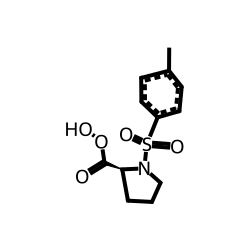 Cc1ccc(S(=O)(=O)N2CCC[C@H]2C(=O)OO)cc1